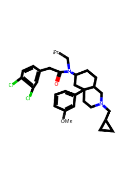 COc1cccc(C23CCN(CC4CC4)CC2CCC(N(CC(C)C)C(=O)Cc2ccc(Cl)c(Cl)c2)C3)c1